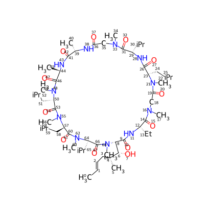 C/C=C/C[C@@H](C)[C@@H](O)[C@H]1C(=O)N[C@@H](CC)C(=O)N(C)CC(=O)N(C)[C@@H](CC(C)C)C(=O)N[C@@H](C(C)C)C(=O)N(C)CC(=O)N[C@@H](C)C(=O)N[C@H](C)C(=O)N(C)[C@@H](CC(C)C)C(=O)N(C)[C@H](CC(C)C)C(=O)N(C)[C@@H](C(C)C)C(=O)N1C